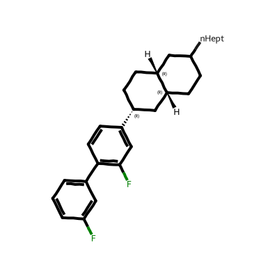 CCCCCCCC1CC[C@@H]2C[C@H](c3ccc(-c4cccc(F)c4)c(F)c3)CC[C@@H]2C1